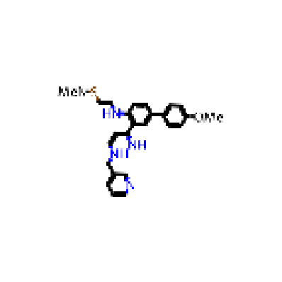 CNSCCNc1ccc(-c2ccc(OC)cc2)cc1C(=N)/C=C\NCc1cccnc1